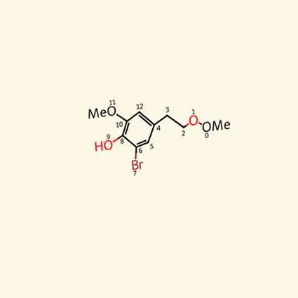 COOCCc1cc(Br)c(O)c(OC)c1